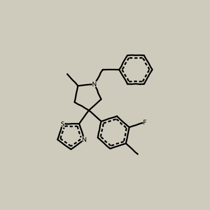 Cc1ccc(C2(c3nccs3)CC(C)N(Cc3ccccc3)C2)cc1F